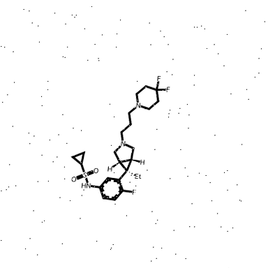 CC[C@]1(c2cc(NS(=O)(=O)C3CC3)ccc2F)[C@@H]2CN(CCCN3CCC(F)(F)CC3)C[C@@H]21